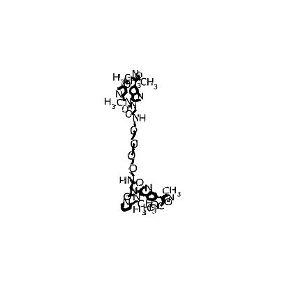 COc1cc2c(cc1-c1c(C)noc1C)ncc1c2n(C(C)c2ccccn2)c(=O)n1CC(=O)NCCOCCOCCOCCOCCNC(=O)Cn1c(=O)n(C(C)c2ccccn2)c2c3cc(OC)c(-c4c(C)noc4C)cc3ncc21